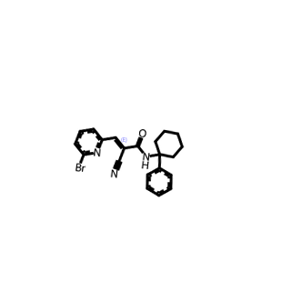 N#C/C(=C\c1cccc(Br)n1)C(=O)NC1(c2ccccc2)CCCCC1